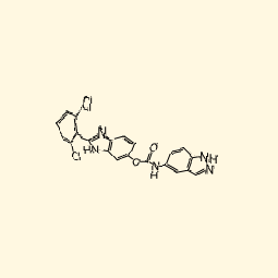 O=C(Nc1ccc2[nH]ncc2c1)Oc1ccc2nc(-c3c(Cl)cccc3Cl)[nH]c2c1